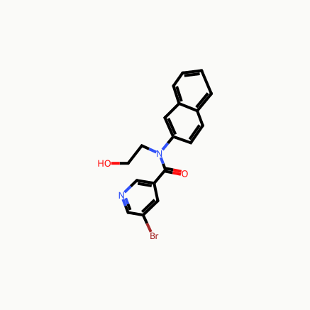 O=C(c1cncc(Br)c1)N(CCO)c1ccc2ccccc2c1